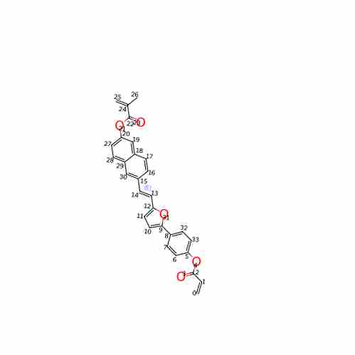 C=CC(=O)Oc1ccc(-c2ccc(/C=C/c3ccc4cc(OC(=O)C(=C)C)ccc4c3)o2)cc1